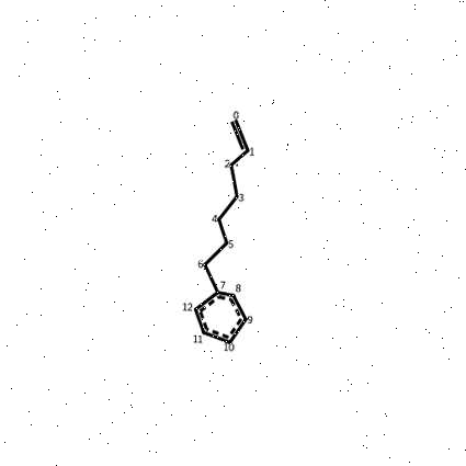 C=C[CH]CCCCc1ccccc1